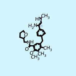 CN/C=C(\N)c1ccc(Cc2cc(C(=O)NCC3CCCO3)c(OC)c(C)c2C)cc1